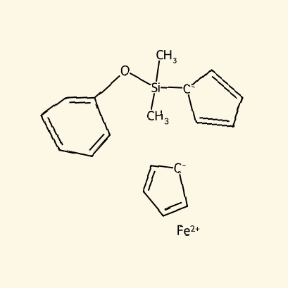 C[Si](C)(Oc1ccccc1)[c-]1cccc1.[Fe+2].c1cc[cH-]c1